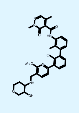 COc1nc(-c2cccc(-c3cccc(NC(=O)c4c(C)cnn(C)c4=O)c3C)c2Cl)ccc1CNC1CCOCC1O